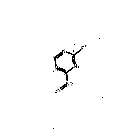 [N]=[N+]c1ncnc(F)n1